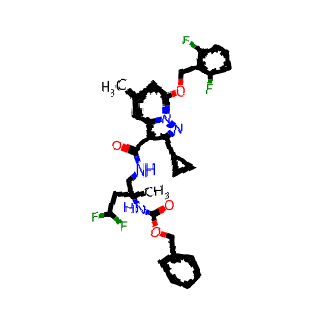 Cc1cc(OCc2c(F)cccc2F)n2nc(C3CC3)c(C(=O)NCC(C)(CC(F)F)NC(=O)OCc3ccccc3)c2c1